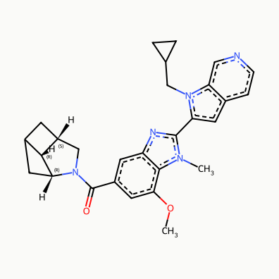 COc1cc(C(=O)N2C[C@H]3CC4C[C@@H]2[C@H]43)cc2nc(-c3cc4ccncc4n3CC3CC3)n(C)c12